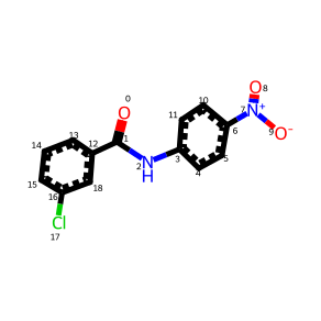 O=C(Nc1ccc([N+](=O)[O-])cc1)c1cccc(Cl)c1